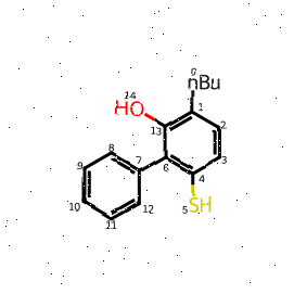 CCCCc1ccc(S)c(-c2ccccc2)c1O